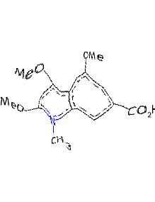 COc1cc(C(=O)O)cc2c1c(OC)c(OC)n2C